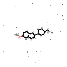 CCCCOc1ccc2cc(C3=CCC(CC(C)CC)CC3)ccc2c1